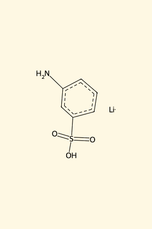 Nc1cccc(S(=O)(=O)O)c1.[Li]